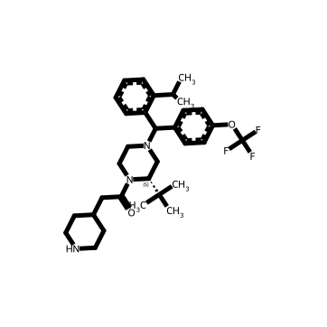 CC(C)c1ccccc1C(c1ccc(OC(F)(F)F)cc1)N1CCN(C(=O)CC2CCNCC2)[C@@H](C(C)(C)C)C1